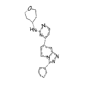 c1ccc(-c2nnc3cc(-c4ccnc(NC5CCOCC5)n4)ccn23)cc1